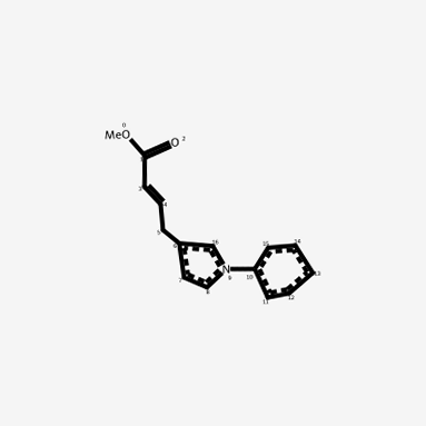 COC(=O)C=CCc1ccn(-c2ccccc2)c1